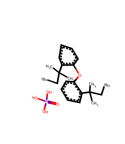 CC(C)(C)CC(C)(C)c1ccccc1Oc1ccccc1C(C)(C)CC(C)(C)C.O=P(O)(O)O